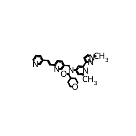 Cc1cc(N(Cc2ccc(C=Cc3cccnc3)nc2)C(=O)C2CCOCC2)cc(-c2ccn(C)n2)n1